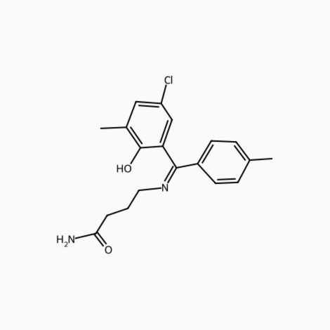 Cc1ccc(C(=NCCCC(N)=O)c2cc(Cl)cc(C)c2O)cc1